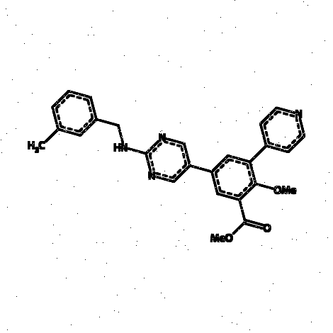 COC(=O)c1cc(-c2cnc(NCc3cccc(C)c3)nc2)cc(-c2ccncc2)c1OC